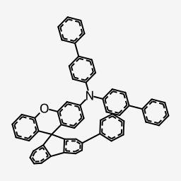 c1ccc(-c2ccc(N(c3ccc(-c4ccccc4)cc3)c3ccc4c(c3)Oc3ccccc3C43c4ccccc4-c4ccc(-c5ccccc5)cc43)cc2)cc1